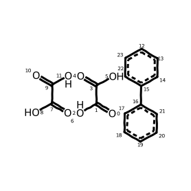 O=C(O)C(=O)O.O=C(O)C(=O)O.c1ccc(-c2ccccc2)cc1